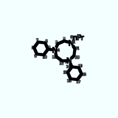 CCCN1CCN(C2CCCCC2)CCN(C2CCCCC2)CC1